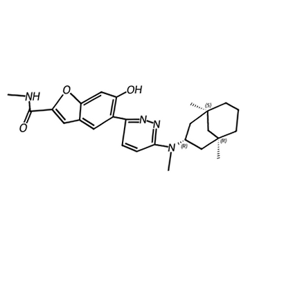 CNC(=O)c1cc2cc(-c3ccc(N(C)[C@H]4C[C@]5(C)CCC[C@](C)(C4)C5)nn3)c(O)cc2o1